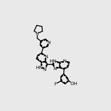 Oc1cc(F)cc(-c2ccnc3[nH]c(-c4n[nH]c5ccc(-c6cncc(CN7CCCC7)c6)nc45)nc23)c1